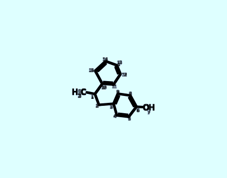 CC(Cc1ccc(O)cc1)c1cc[c]cc1